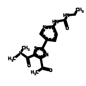 CCNC(=O)Nc1ccc(-c2nc(C(C)=O)c(C(=O)N(C)C)s2)cn1